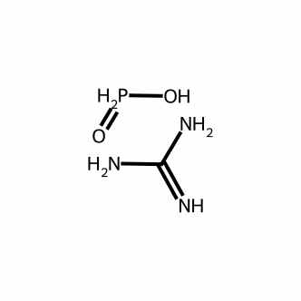 N=C(N)N.O=[PH2]O